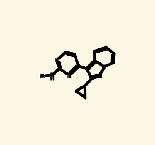 CC(C)Nc1nccc(-c2c(C3CC3)nn3ccccc23)n1